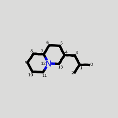 CC(C)CC1CCC2CCCCN2C1